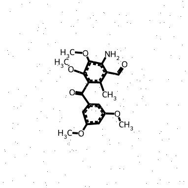 COc1cc(OC)cc(C(=O)c2c(C)c(C=O)c(N)c(OC)c2OC)c1